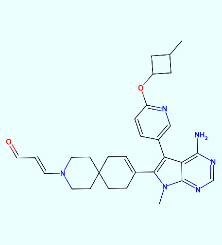 CC1CC(Oc2ccc(-c3c(C4=CCC5(CC4)CCN(C=CC=O)CC5)n(C)c4ncnc(N)c34)cn2)C1